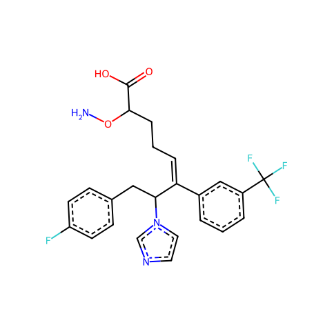 NOC(CC/C=C(/c1cccc(C(F)(F)F)c1)C(Cc1ccc(F)cc1)n1ccnc1)C(=O)O